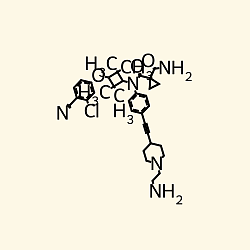 CC1(C)C(Oc2ccc(C#N)c(Cl)c2)C(C)(C)C1N(C(=O)C1(C(N)=O)CC1)c1ccc(C#CC2CCN(CCN)CC2)cc1